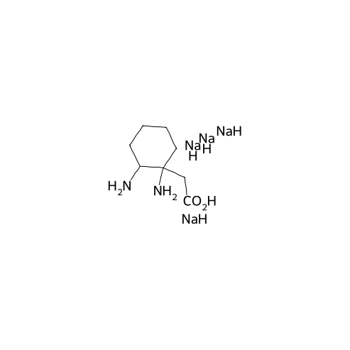 NC1CCCCC1(N)CC(=O)O.[NaH].[NaH].[NaH].[NaH]